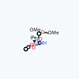 COCCCOc1cc(C(=O)N(C[C@@H]2CNC[C@H]2CN(C(=O)OC2Cc3ccccc3C2)C2CC2)C(C)C)ccc1OC